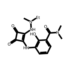 CCN(C)Nc1c(Nc2cccc(C(=O)N(C)C)c2O)c(=O)c1=O